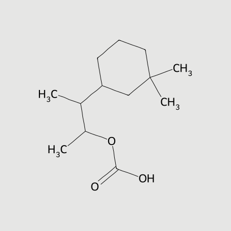 CC(OC(=O)O)C(C)C1CCCC(C)(C)C1